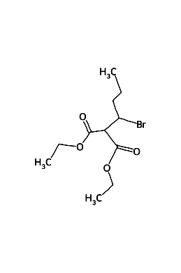 CCCC(Br)C(C(=O)OCC)C(=O)OCC